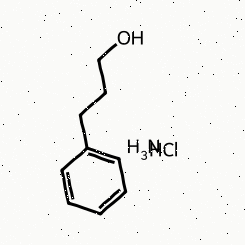 Cl.N.OCCCc1ccccc1